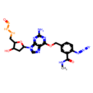 CNC(=O)c1cc(COc2nc(N)nc3c2ncn3C2CC(O)C(CPPP=O)O2)ccc1N=[N+]=[N-]